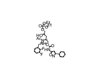 CCOP(=O)(OCC)OC[C@H](O)C[C@@H](COC(=O)Nc1cc(-c2ccccc2)no1)N(NCc1cccc(F)c1F)C(C)=O